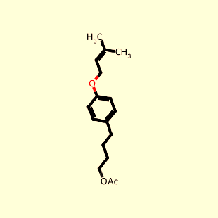 CC(=O)OCCCCc1ccc(OCC=C(C)C)cc1